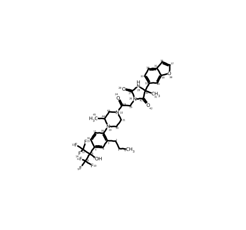 CCCc1cc(C(O)(C(F)(F)F)C(F)(F)F)ccc1N1CCN(C(=O)CN2C(=O)NC(C)(c3ccc4ccoc4c3)C2=O)CC1C